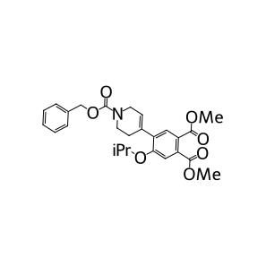 COC(=O)c1cc(OC(C)C)c(C2=CCN(C(=O)OCc3ccccc3)CC2)cc1C(=O)OC